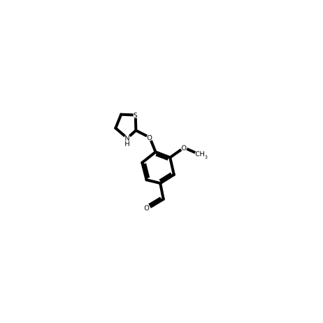 COc1cc(C=O)ccc1OC1NCCS1